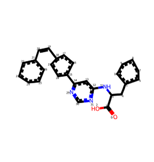 O=C(O)C(Cc1ccccc1)Nc1cc(-c2ccc(/C=C\c3ccccc3)cc2)ncn1